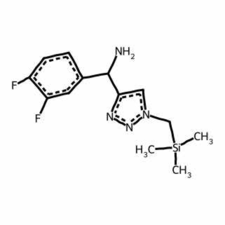 C[Si](C)(C)Cn1cc(C(N)c2ccc(F)c(F)c2)nn1